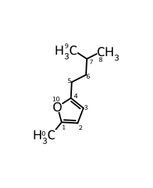 Cc1ccc(CCC(C)C)o1